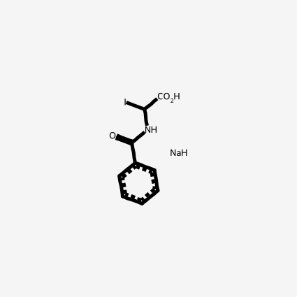 O=C(NC(I)C(=O)O)c1ccccc1.[NaH]